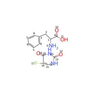 NC(Cc1ccccc1)C(=O)O.O=c1[nH]cc(F)c(=O)[nH]1